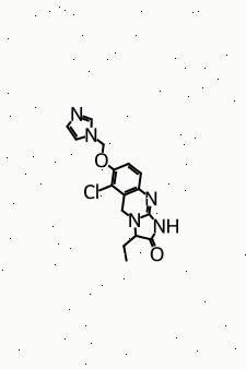 CCC1C(=O)NC2=Nc3ccc(OCn4ccnc4)c(Cl)c3CN21